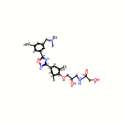 CCCc1cc(CN(C)CC)cc(-c2nc(-c3cc(C)c(OCC(O)CNC(=O)CO)c(CC)c3)no2)c1